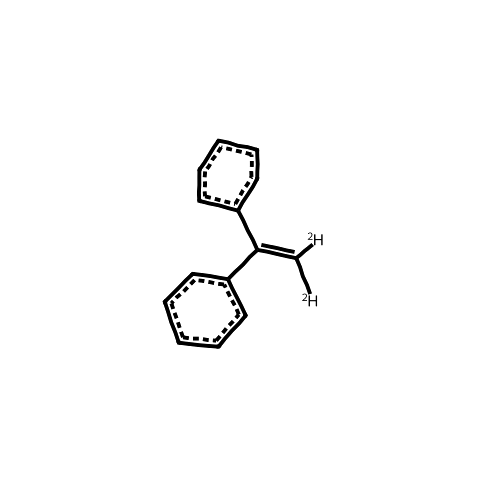 [2H]C([2H])=C(c1ccccc1)c1ccccc1